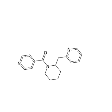 O=C(c1ccncc1)N1CCCCC1Cc1ccccn1